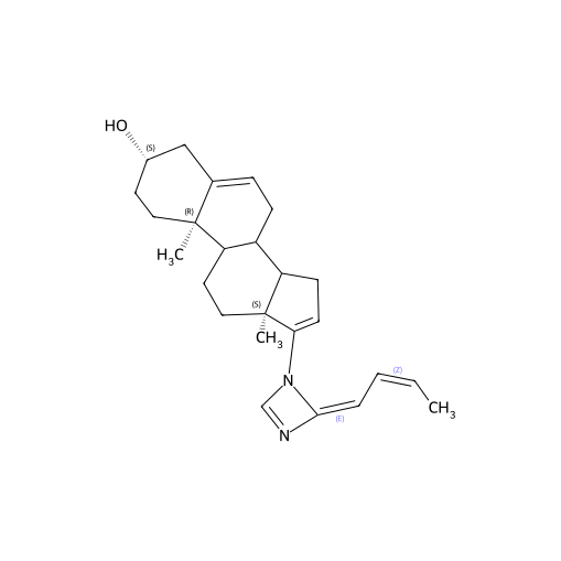 C/C=C\C=C1\N=CN1C1=CCC2C3CC=C4C[C@@H](O)CC[C@]4(C)C3CC[C@]12C